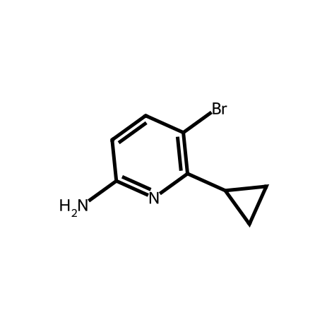 Nc1ccc(Br)c(C2CC2)n1